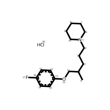 CC(CCCN1CCCCC1)COc1ccc(F)cc1.Cl